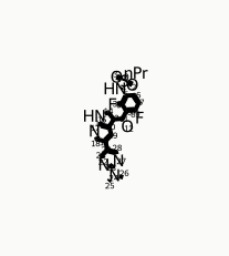 CCCS(=O)(=O)Nc1ccc(F)c(C(=O)C2CNc3ncc(-c4cnc(N(C)C)nc4)cc32)c1F